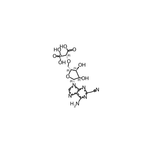 N#Cc1nc(N)c2ncn([C@@H]3O[C@H](CO[C@@H](C(=O)O)P(=O)(O)O)[C@@H](O)[C@H]3O)c2n1